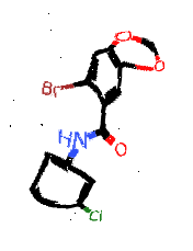 O=C(Nc1cccc(Cl)c1)c1cc2c(cc1Br)OCO2